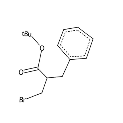 CC(C)(C)OC(=O)C(CBr)Cc1ccccc1